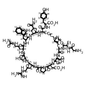 CC[C@H](NC(=O)CN)C(=O)N[C@H]1Cc2cn(nn2)CCC[C@H](C(=O)N[C@H](Cc2ccc(O)cc2)C(=O)O)NC(=O)[C@H](CCC(N)=O)NC(=O)C(Cc2c[nH]c3ccccc23)NC(=O)[C@H](CCCNC(N)=O)NC(=O)[C@H](CS)NC(=O)[C@H](CCCNC(=N)N)NC(=O)C2CCCN2C(=O)[C@H](CC(=O)O)NC(=O)[C@H]([C@@H](C)O)NC1=O